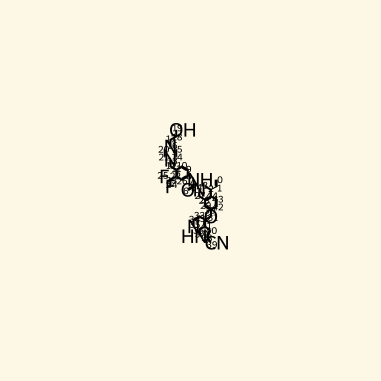 C=C[C@@H]1CN(C(=O)Nc2ccc(CN3CCN(CCO)CC3)c(C(F)F)c2)Cc2cc(Oc3ccnc4[nH]c(C#N)cc34)ccc21